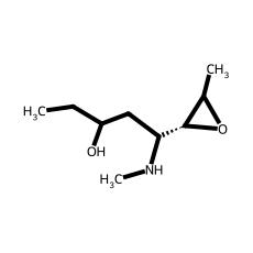 CCC(O)CC(NC)[C@H]1OC1C